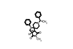 C[C@H](c1ccccc1)N1CCC2(CC1)[C@@H]1C(=O)N(C)C(=O)[C@@H]1CN2c1ccccc1